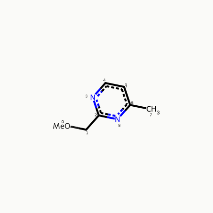 COCc1nc[c]c(C)n1